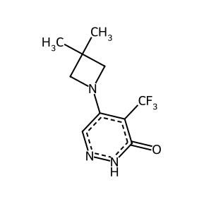 CC1(C)CN(c2cn[nH]c(=O)c2C(F)(F)F)C1